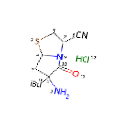 CCC(C)C1(N)CC2SCC(C#N)N2C1=O.Cl